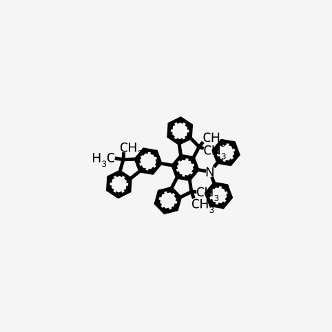 CC1(C)c2ccccc2-c2cc(-c3c4c(c(N(c5ccccc5)c5ccccc5)c5c3-c3ccccc3C5(C)C)C(C)(C)c3ccccc3-4)ccc21